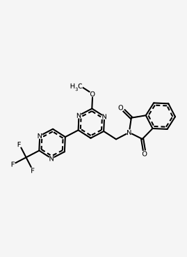 COc1nc(CN2C(=O)c3ccccc3C2=O)cc(-c2cnc(C(F)(F)F)nc2)n1